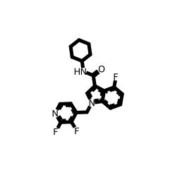 O=C(NC1CCCCC1)c1cn(Cc2ccnc(F)c2F)c2cccc(F)c12